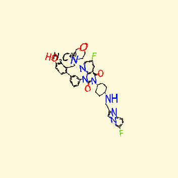 C[C@H]1COCCN1Cc1cc(O)ccc1-c1cccc(-n2c(=O)n([C@H]3CC[C@@H](NCc4cn5cc(F)ccc5n4)CC3)c(=O)c3cc(F)cnc32)c1